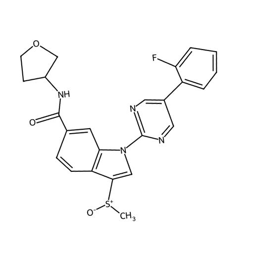 C[S+]([O-])c1cn(-c2ncc(-c3ccccc3F)cn2)c2cc(C(=O)NC3CCOC3)ccc12